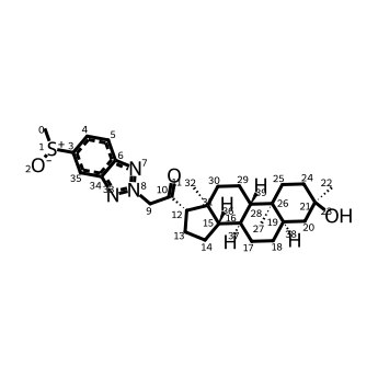 C[S+]([O-])c1ccc2nn(CC(=O)[C@H]3CC[C@H]4[C@@H]5CC[C@@H]6C[C@](C)(O)CC[C@]6(C)[C@H]5CC[C@]34C)nc2c1